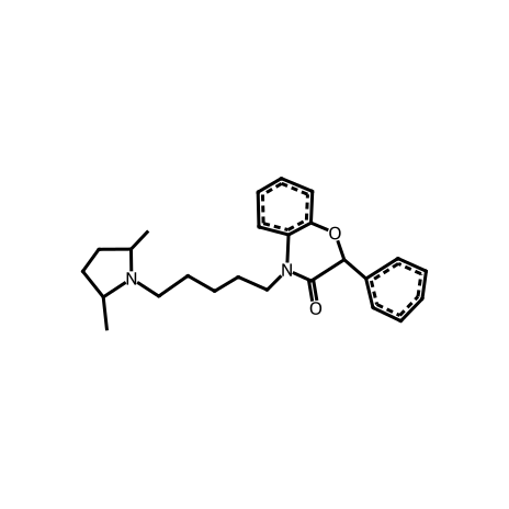 CC1CCC(C)N1CCCCCN1C(=O)C(c2ccccc2)Oc2ccccc21